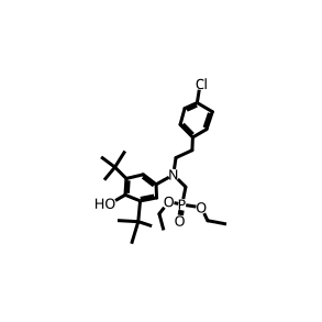 CCOP(=O)(CN(CCc1ccc(Cl)cc1)c1cc(C(C)(C)C)c(O)c(C(C)(C)C)c1)OCC